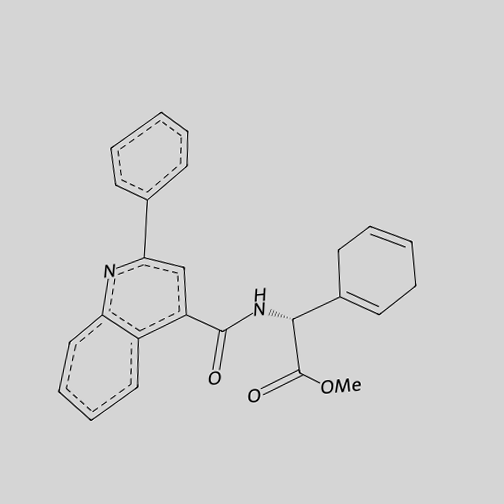 COC(=O)[C@H](NC(=O)c1cc(-c2ccccc2)nc2ccccc12)C1=CCC=CC1